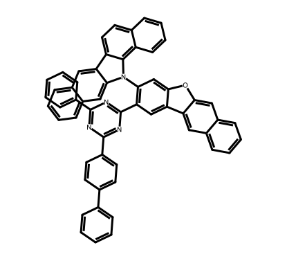 c1ccc(-c2ccc(-c3nc(-c4ccccc4)nc(-c4cc5c(cc4-n4c6cc7ccccc7cc6c6ccc7ccccc7c64)oc4cc6ccccc6cc45)n3)cc2)cc1